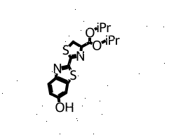 CC(C)OC(OC(C)C)C1CSC(c2nc3ccc(O)cc3s2)=N1